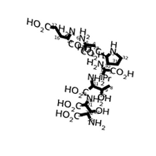 CC(C)C(N)C(=O)O.CC(N)C(=O)O.CC(O)C(N)C(=O)O.NC(CCC(=O)O)C(=O)O.NC(CO)C(=O)O.NCC(=O)O.O=C(O)[C@@H]1CCCN1